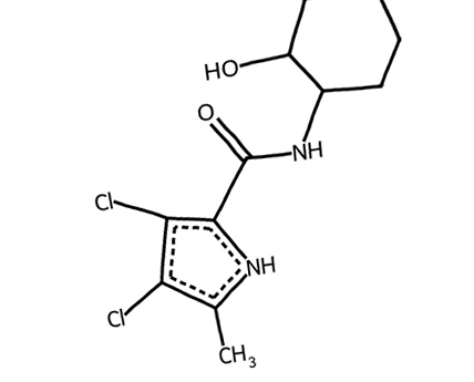 Cc1[nH]c(C(=O)NC2CCNCC2O)c(Cl)c1Cl